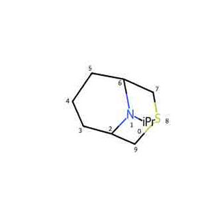 CC(C)N1C2CCCC1CSC2